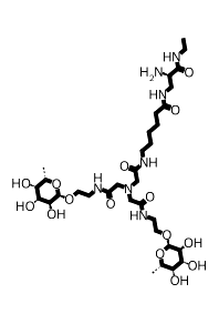 CCNC(=O)[C@H](N)CNC(=O)CCCCCNC(=O)CN(CC(=O)NCCO[C@@H]1O[C@@H](C)[C@@H](O)[C@@H](O)[C@@H]1O)CC(=O)NCCO[C@@H]1O[C@@H](C)[C@@H](O)[C@@H](O)[C@@H]1O